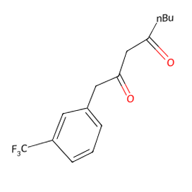 CCCCC(=O)CC(=O)Cc1cccc(C(F)(F)F)c1